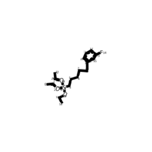 CCO[Si](CCCCCc1cccc(F)c1)(OCC)OCC